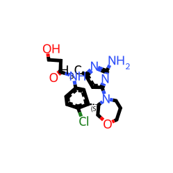 Cc1cc(N2CCCOC[C@@H]2c2cc(NC(=O)CCO)ccc2Cl)nc(N)n1